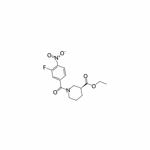 CCOC(=O)[C@H]1CCCN(C(=O)c2ccc([N+](=O)[O-])c(F)c2)C1